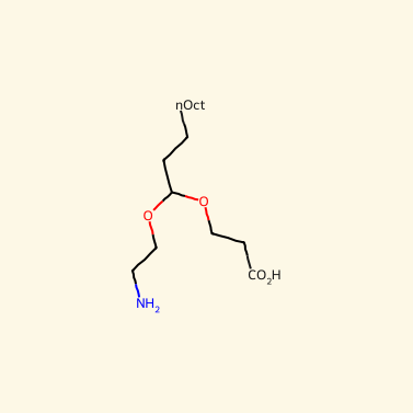 CCCCCCCCCCC(OCCN)OCCC(=O)O